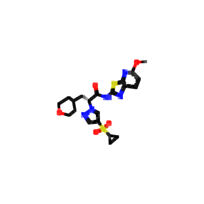 COc1ccc2nc(NC(=O)[C@@H](CC3CCOCC3)n3cc(S(=O)(=O)C4CC4)cn3)sc2n1